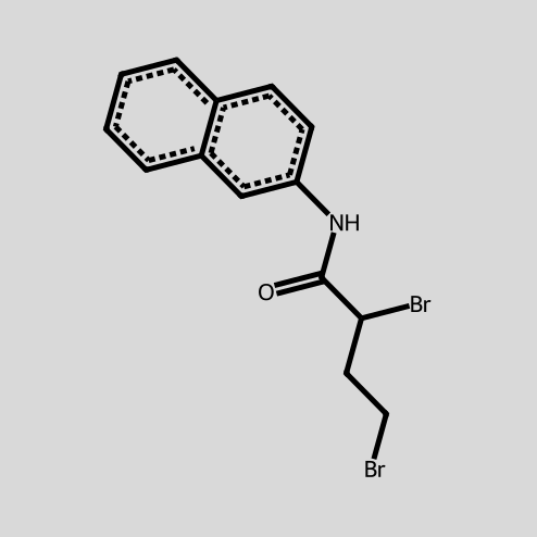 O=C(Nc1ccc2ccccc2c1)C(Br)CCBr